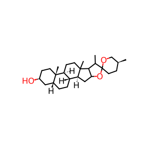 CC1C2C(C[C@H]3[C@@H]4CC[C@@H]5C[C@@H](O)CC[C@]5(C)[C@H]4CCC23C)OC12CC[C@H](C)CO2